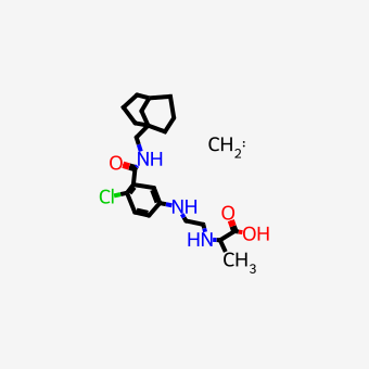 CC(NCCNc1ccc(Cl)c(C(=O)NCC23CCCC(CCC2)C3)c1)C(=O)O.[CH2]